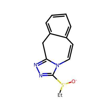 CC[S+]([O-])c1nnc2n1C=Cc1ccccc1C2